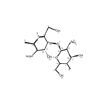 CC(=O)NC1C(C)OC(CO)[C@@H](O[C@@H]2OC(CO)C(C)[C@H](O)C2N)[C@@H]1O